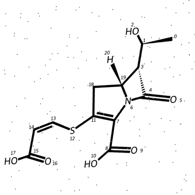 C[C@H](O)[C@@H]1C(=O)N2C(C(=O)O)=C(S/C=C\C(=O)O)C[C@H]12